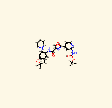 CC(C)(C)OC(=O)Nc1cc(-c2nc(C(=O)Nc3cc4c(cc3N3CCCCC3)OC(C)(C)C4)co2)ccn1